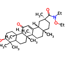 CCON(CC)C(=O)[C@@]1(C)CC[C@]2(C)CC[C@]3(C)C(=CC(=O)[C@@H]4[C@@]5(C)CC[C@H](O)C(C)(C)C5CC[C@]43C)[C@@H]2C1